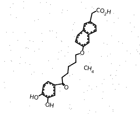 C.O=C(O)Cc1ccc2cc(OCCCCCC(=O)c3ccc(O)c(O)c3)ccc2c1